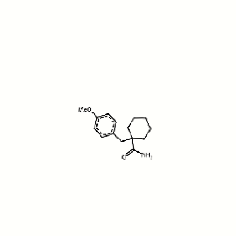 COc1ccc(CC2(C(N)=O)CCCCC2)cc1